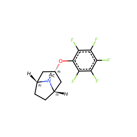 CC(=O)N1[C@@H]2CC[C@H]1C[C@@H](Oc1c(F)c(F)c(F)c(F)c1F)C2